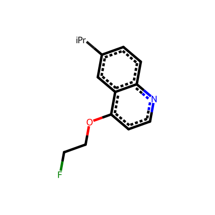 CC(C)c1ccc2nccc(OCCF)c2c1